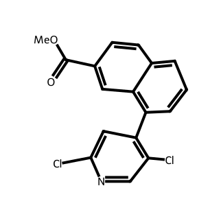 COC(=O)c1ccc2cccc(-c3cc(Cl)ncc3Cl)c2c1